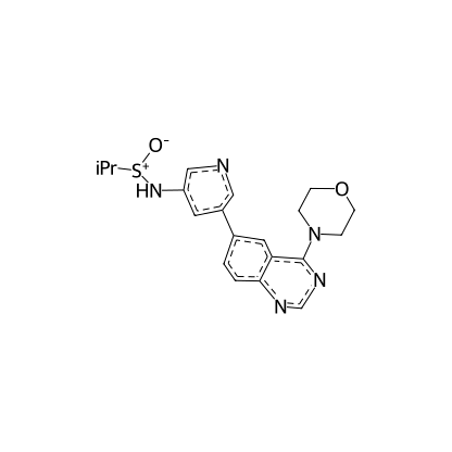 CC(C)[S+]([O-])Nc1cncc(-c2ccc3ncnc(N4CCOCC4)c3c2)c1